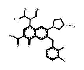 CC(C)[C@@H](CO)n1cc(C(=O)O)c(=O)c2cc(Cc3cccc(Cl)c3F)c(N3CC[C@H](N)C3)cc21